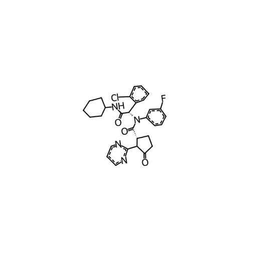 O=C1CC[C@@H](C(=O)N(c2cccc(F)c2)[C@H](C(=O)NC2CCCCC2)c2ccccc2Cl)C1c1ncccn1